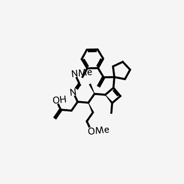 C=C(O)CC(/N=C/NC)[C@H](CCOC)[C@@H](C)[C@H]1C(C2(C(=C)c3ccccc3C)CCCC2)=CC1C